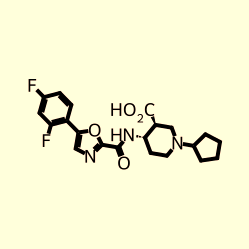 O=C(N[C@H]1CCN(C2CCCC2)C[C@@H]1C(=O)O)c1ncc(-c2ccc(F)cc2F)o1